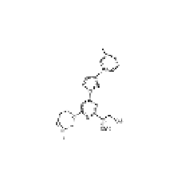 CO[C@H](CO)c1nc(N2CCO[C@@H](C)C2)cc(-n2ccc(-c3cccc(C)c3)n2)n1